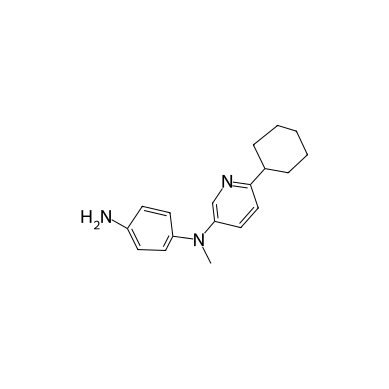 CN(c1ccc(N)cc1)c1ccc(C2CCCCC2)nc1